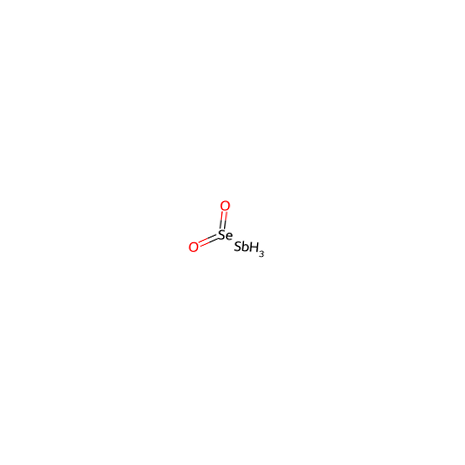 O=[Se]=O.[SbH3]